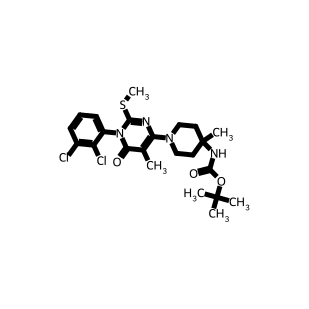 CSc1nc(N2CCC(C)(NC(=O)OC(C)(C)C)CC2)c(C)c(=O)n1-c1cccc(Cl)c1Cl